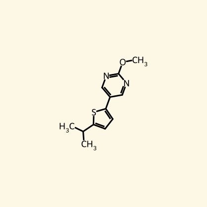 COc1ncc(-c2ccc(C(C)C)s2)cn1